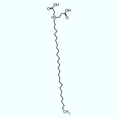 CCCCCCCCCCCCCCCCCCCCCCCCCCCC[SH](CCC(=O)O)CCC(=O)O